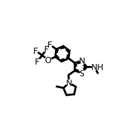 CNc1nc(-c2ccc(F)c(OC(F)(F)F)c2)c(CN2CCCC2C)s1